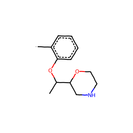 [CH2]c1ccccc1OC(C)C1CNCCO1